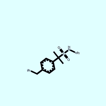 CCCNS(=O)(=O)C(C)(C)c1ccc(CC(C)C)cc1